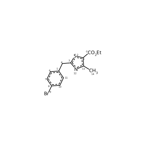 CCOC(=O)c1sc(Cc2ccc(Br)cc2)nc1C